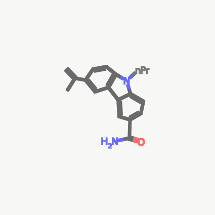 C=C(C)c1ccc2c(c1)c1cc(C(N)=O)ccc1n2CCC